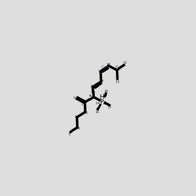 C=C(CCCC)C(C=C/C=C\C(C)C)[PH](C)(C)C